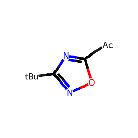 CC(=O)c1nc(C(C)(C)C)no1